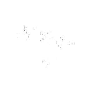 CC(C)(C)c1nc2cc(S(=O)(=O)N3CCO[C@H](C(=O)NC4CC4)C3)ccc2n1CC1CCC(F)(F)CC1